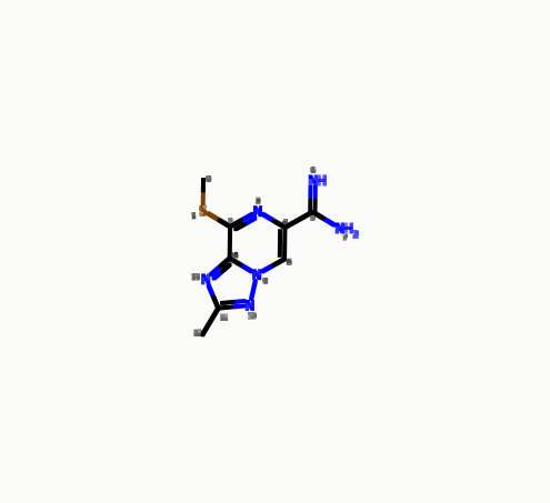 CSc1nc(C(=N)N)cn2nc(C)nc12